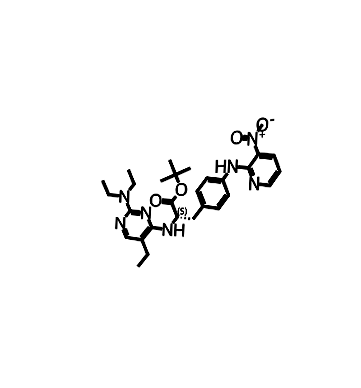 CCc1cnc(N(CC)CC)nc1N[C@@H](Cc1ccc(Nc2ncccc2[N+](=O)[O-])cc1)C(=O)OC(C)(C)C